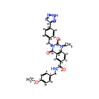 COc1ccc(CNC(=O)c2ccc3c(c2)c(=O)n(Cc2ccc(-c4nn[nH]n4)cc2)c(=O)n3C)cc1